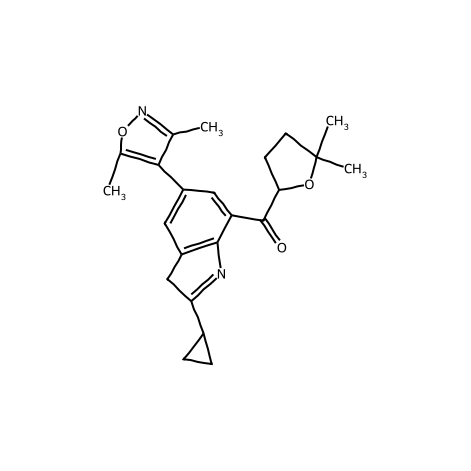 Cc1noc(C)c1-c1cc2c(c(C(=O)C3CCC(C)(C)O3)c1)N=C(C1CC1)C2